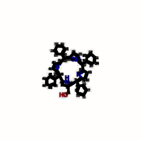 OCc1cc2[nH]c1c(-c1ccccc1)c1nc(c(-c3ccccc3)c3ccc([nH]3)c(-c3ccccc3)c3nc(c2-c2ccccc2)C=C3)C=C1